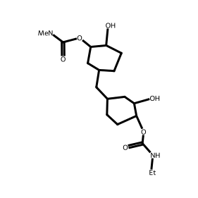 CCNC(=O)OC1CCC(CC2CCC(O)C(OC(=O)NC)C2)CC1O